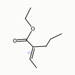 C/C=C(\CCC)C(=O)OCC